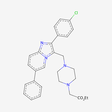 CCOC(=O)CN1CCN(Cc2c(-c3ccc(Cl)cc3)nc3ccc(-c4ccccc4)cn23)CC1